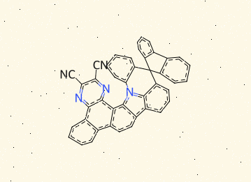 N#Cc1nc2c3ccccc3c3ccc4c5cccc6c5n(c4c3c2nc1C#N)-c1ccccc1C61c2ccccc2-c2ccccc21